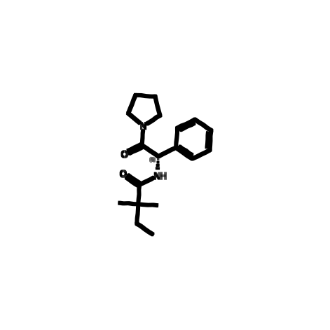 CCC(C)(C)C(=O)N[C@H](C(=O)N1CCCC1)c1ccccc1